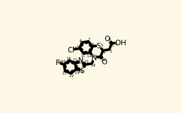 O=C(O)CC1Sc2ccc(Cl)cc2N(Cc2nc3cc(F)ccc3s2)C1=O